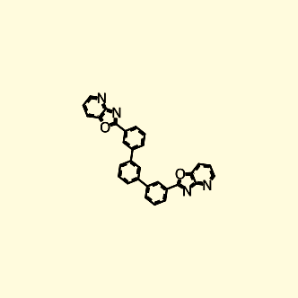 c1cc(-c2cccc(-c3nc4ncccc4o3)c2)cc(-c2cccc(-c3nc4ncccc4o3)c2)c1